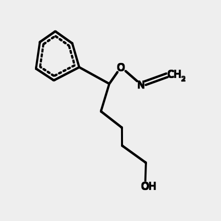 C=NOC(CCCCO)c1ccccc1